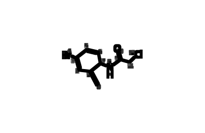 C=C1C=C(Br)C=CC1NC(=O)CCl